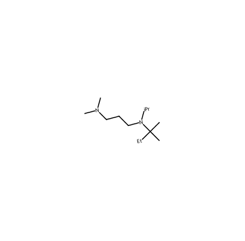 CCC(C)(C)N(CCCN(C)C)C(C)C